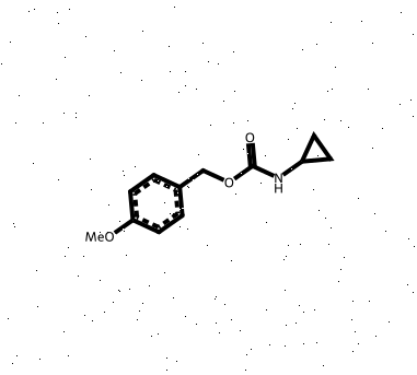 COc1ccc(COC(=O)NC2CC2)cc1